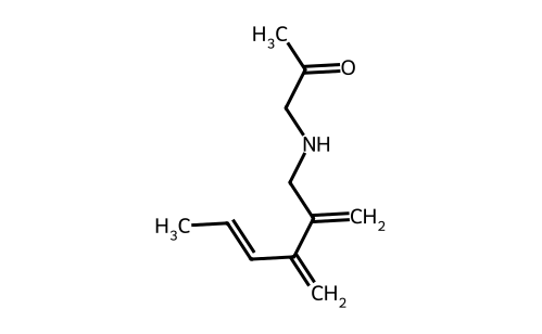 C=C(/C=C/C)C(=C)CNCC(C)=O